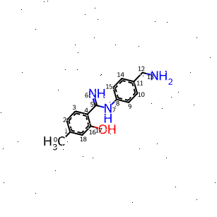 Cc1ccc(C(=N)Nc2ccc(CN)cc2)c(O)c1